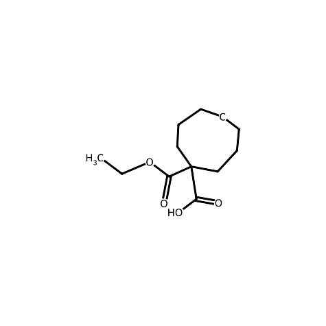 CCOC(=O)C1(C(=O)O)CCCCCCC1